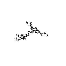 CCCc1ccc2c(c1)C=Cc1cc(CCC)ccc1C2OCCOc1ccc(CC(OC)C(=O)OCC)cc1